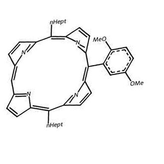 CCCCCCCC1=C2C=CC(=N2)C=C2C=CC(=N2)C(CCCCCCC)=C2C=CC(=N2)C(c2cc(OC)ccc2OC)=C2C=CC1=N2